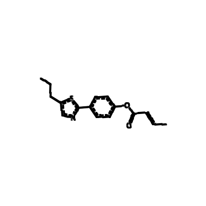 C/C=C/C(=O)Oc1ccc(-c2ncc(CCC)s2)cc1